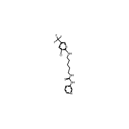 FC(F)(F)c1cnc(NCCCCCNC(=S)Nc2cccnc2)c(Cl)c1